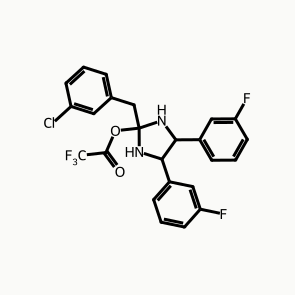 O=C(OC1(Cc2cccc(Cl)c2)NC(c2cccc(F)c2)C(c2cccc(F)c2)N1)C(F)(F)F